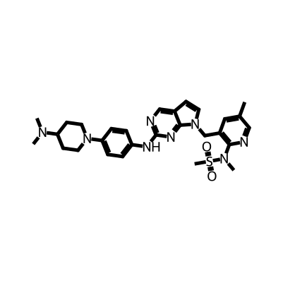 Cc1cnc(N(C)S(C)(=O)=O)c(Cn2ccc3cnc(Nc4ccc(N5CCC(N(C)C)CC5)cc4)nc32)c1